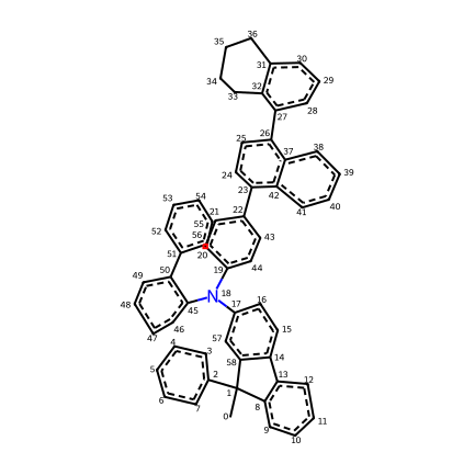 CC1(c2ccccc2)c2ccccc2-c2ccc(N(c3ccc(-c4ccc(-c5cccc6c5CCCC6)c5ccccc45)cc3)c3ccccc3-c3ccccc3)cc21